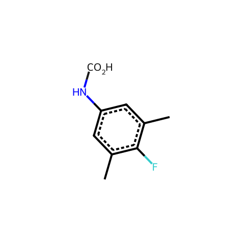 Cc1cc(NC(=O)O)cc(C)c1F